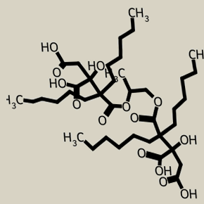 CCCCCCC(CCCCCC)(C(=O)OCC(C)OC(=O)C(CCCCCC)(CCCCCC)C(O)(CC(=O)O)C(=O)O)C(O)(CC(=O)O)C(=O)O